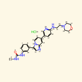 CCNC(=O)Nc1cccc(-c2cnc3cc(-c4ccc(NCCN5CCOCC5)nc4)ccn23)c1.Cl